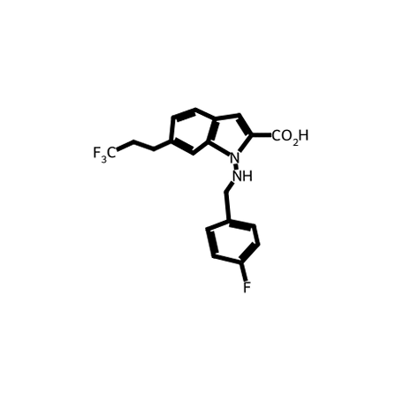 O=C(O)c1cc2ccc(CCC(F)(F)F)cc2n1NCc1ccc(F)cc1